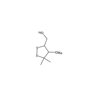 COC1C(CO)SSC1(C)C